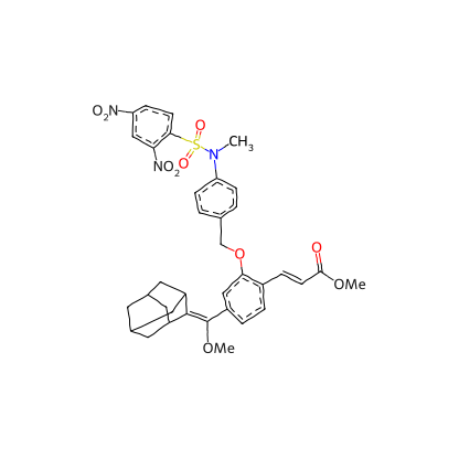 COC(=O)/C=C/c1ccc(C(OC)=C2C3CC4CC(C3)CC2C4)cc1OCc1ccc(N(C)S(=O)(=O)c2ccc([N+](=O)[O-])cc2[N+](=O)[O-])cc1